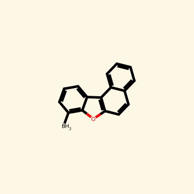 Bc1cccc2c1oc1ccc3ccccc3c12